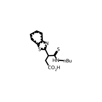 CCCCNC(=S)C(CC(=O)O)c1nc2ccccc2s1